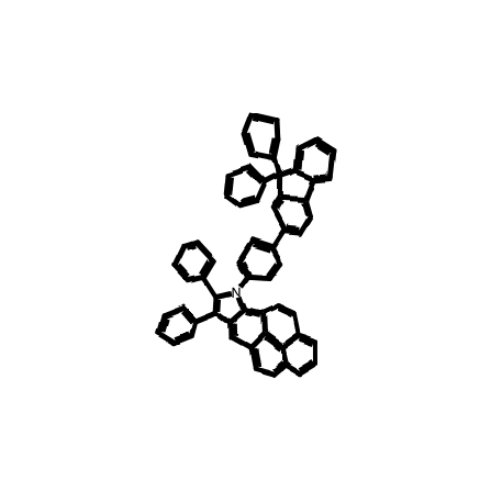 c1ccc(-c2c(-c3ccccc3)n(-c3ccc(-c4ccc5c(c4)C(c4ccccc4)(c4ccccc4)c4ccccc4-5)cc3)c3c2cc2ccc4cccc5ccc3c2c45)cc1